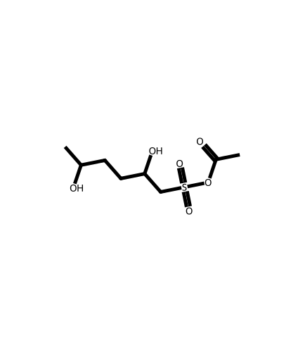 CC(=O)OS(=O)(=O)CC(O)CCC(C)O